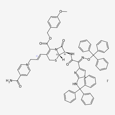 COc1ccc(COC(=O)C2=C(/C=C/C[n+]3ccc(C(N)=O)cc3)CS[C@H]3[C@H](NC(=O)C(=NOC(c4ccccc4)(c4ccccc4)c4ccccc4)c4csc(NC(c5ccccc5)(c5ccccc5)c5ccccc5)n4)C(=O)N23)cc1.[I-]